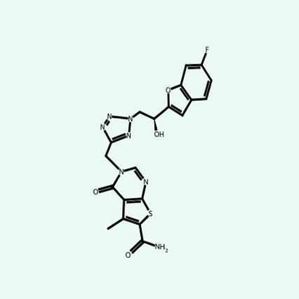 Cc1c(C(N)=O)sc2ncn(Cc3nnn(C[C@H](O)c4cc5ccc(F)cc5o4)n3)c(=O)c12